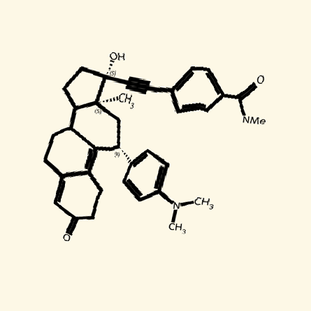 CNC(=O)c1ccc(C#C[C@]2(O)CCC3C4CCC5=CC(=O)CCC5=C4[C@@H](c4ccc(N(C)C)cc4)C[C@@]32C)cc1